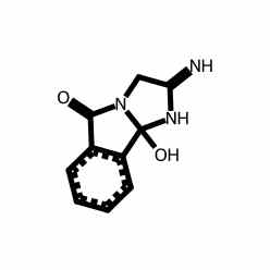 N=C1CN2C(=O)c3ccccc3C2(O)N1